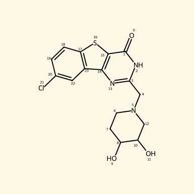 O=c1[nH]c(CN2CCC(O)C(O)C2)nc2c1sc1ccc(Cl)cc12